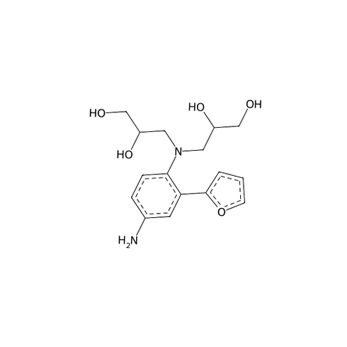 Nc1ccc(N(CC(O)CO)CC(O)CO)c(-c2ccco2)c1